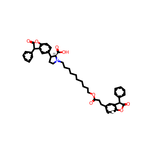 O=C(CCc1ccc2c(c1)C(c1ccccc1)C(=O)O2)OCCCCCCCCCCN1CCC(c2ccc3c(c2)C(c2ccccc2)C(=O)O3)[C@H]1C(=O)O